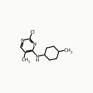 Cc1cnc(Cl)nc1NC1CCC(C)CC1